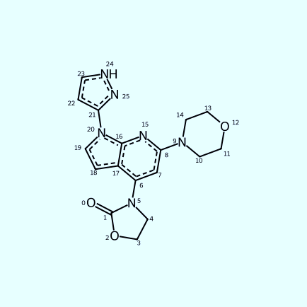 O=C1OCCN1c1cc(N2CCOCC2)nc2c1ccn2-c1cc[nH]n1